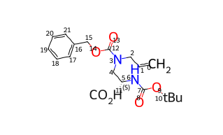 C=CCN(C[C@H](NC(=O)OC(C)(C)C)C(=O)O)C(=O)OCc1ccccc1